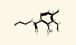 CCCOC(=O)c1ccc(C)c(CC)c1O